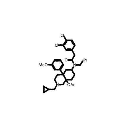 COc1cccc(C23CCN(CC4CC4)CC2(OC(C)=O)CCC(N(CC(C)C)C(=O)Cc2ccc(Cl)c(Cl)c2)C3)c1